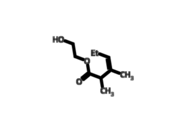 CCC=C(C)C(C)C(=O)OCCO